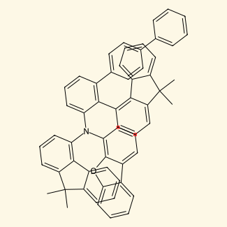 CC1(C)c2ccccc2-c2c(-c3c(-c4ccc(-c5ccccc5)cc4)cccc3N(c3cccc4c3-c3ccccc3C4(C)C)c3cccc4c3oc3ccccc34)cccc21